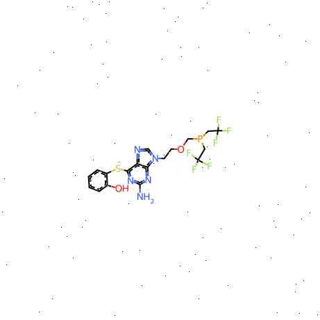 Nc1nc(Sc2ccccc2O)c2ncn(CCOCP(CC(F)(F)F)CC(F)(F)F)c2n1